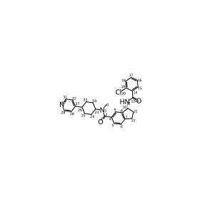 CN(C(=O)c1ccc2c(c1)[C@H](NC(=O)c1ccccc1Cl)CC2)C1CCC(c2ccncc2)CC1